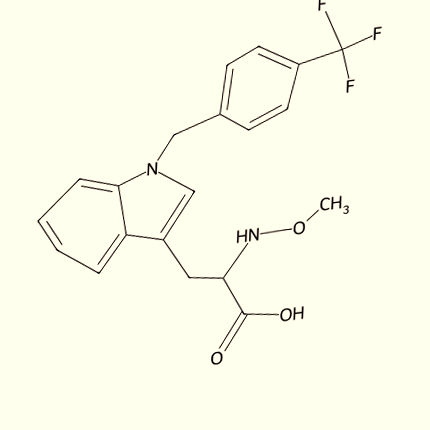 CONC(Cc1cn(Cc2ccc(C(F)(F)F)cc2)c2ccccc12)C(=O)O